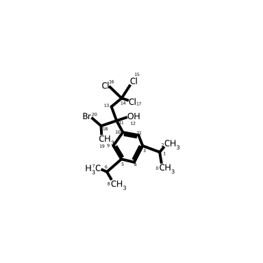 CC(C)c1cc(C(C)C)cc(C(O)(CC(Cl)(Cl)Cl)C(C)Br)c1